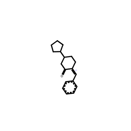 O=C1CC(C2CCCC2)CC/C1=C/c1ccccc1